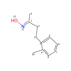 CC(CCc1ccccc1C)=NO